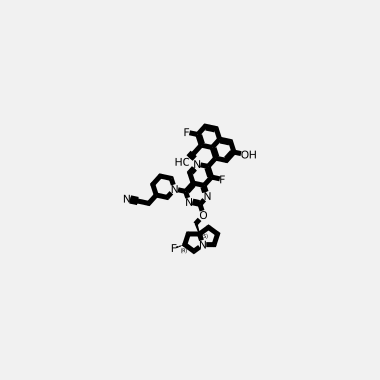 C#Cc1c(F)ccc2cc(O)cc(-c3ncc4c(N5CCCC(CC#N)C5)nc(OC[C@@]56CCCN5C[C@H](F)C6)nc4c3F)c12